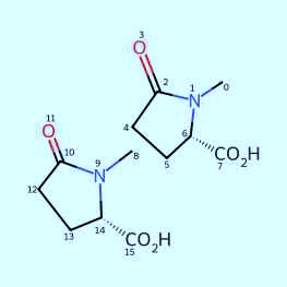 CN1C(=O)CC[C@H]1C(=O)O.CN1C(=O)CC[C@H]1C(=O)O